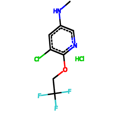 CNc1cnc(OCC(F)(F)F)c(Cl)c1.Cl